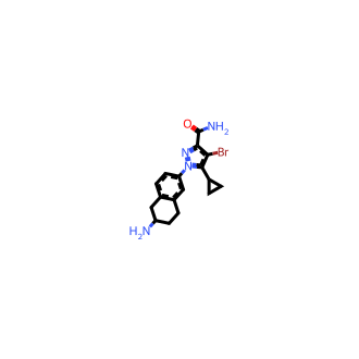 NC(=O)c1nn(-c2ccc3c(c2)CCC(N)C3)c(C2CC2)c1Br